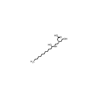 CCCCCCCCCCCC(O)NCCN(CCO)CC(=O)O